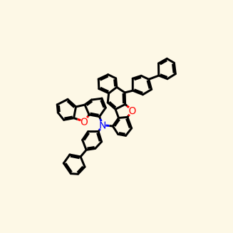 c1ccc(-c2ccc(-c3c4ccccc4cc4c3oc3cccc(N(c5ccc(-c6ccccc6)cc5)c5cccc6c5oc5ccccc56)c34)cc2)cc1